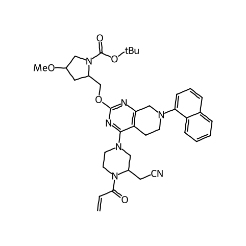 C=CC(=O)N1CCN(c2nc(OCC3CC(OC)CN3C(=O)OC(C)(C)C)nc3c2CCN(c2cccc4ccccc24)C3)CC1CC#N